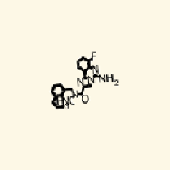 CN(Cc1cccc2cccnc12)C(=O)c1cn2c(N)nc3c(F)cccc3c2n1